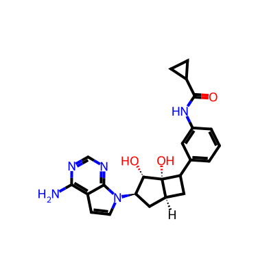 Nc1ncnc2c1ccn2[C@@H]1C[C@@H]2CC(c3cccc(NC(=O)C4CC4)c3)[C@]2(O)[C@H]1O